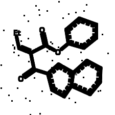 CCC=C(C(=O)Oc1ccccc1)C(=O)c1ccc2ccccc2c1